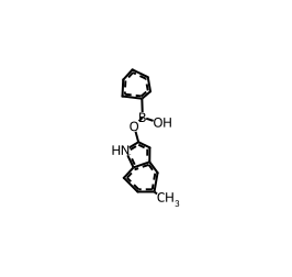 Cc1ccc2[nH]c(OB(O)c3ccccc3)cc2c1